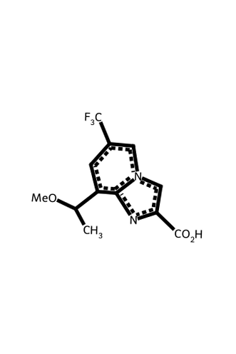 COC(C)c1cc(C(F)(F)F)cn2cc(C(=O)O)nc12